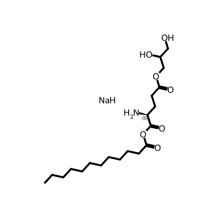 CCCCCCCCCCCC(=O)OC(=O)[C@@H](N)CCC(=O)OCC(O)CO.[NaH]